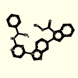 CC(Nc1nccc(-n2cnc3cc(-c4cc5ccccc5n4C(=O)OC(C)(C)C)ccc32)n1)c1ccccc1